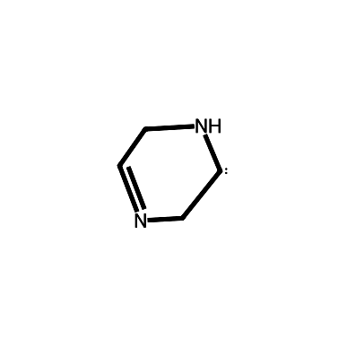 [C]1CN=CCN1